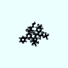 C=CCNC(=O)C(=O)C(CCc1ccccc1)NC(=O)[C@@H]1[C@@H]2[C@H](CN1C(=O)C(NC(=O)OC(C)(C)C)C1CCC(F)(F)CC1)C2(C)C